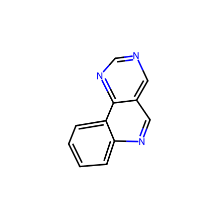 c1ccc2c(c1)ncc1cncnc12